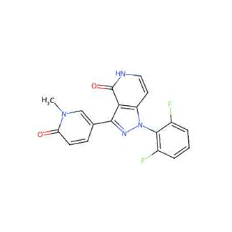 Cn1cc(-c2nn(-c3c(F)cccc3F)c3cc[nH]c(=O)c23)ccc1=O